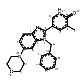 Cc1cc(-c2nc3ccc(N4CCOCC4)cc3n2Cc2ccccc2)c[nH]c1=O